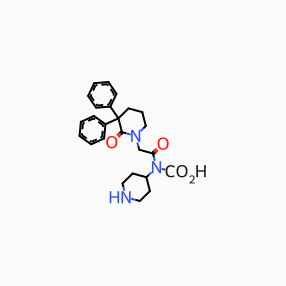 O=C(O)N(C(=O)CN1CCCC(c2ccccc2)(c2ccccc2)C1=O)C1CCNCC1